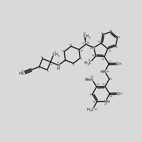 C#CC1CC(C)(NC2CCC([C@@H](C)n3c(C)c(C(=O)NCc4c(SC)cc(C)[nH]c4=O)c4ccccc43)CC2)C1